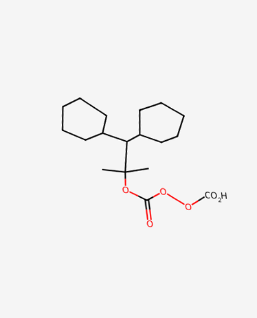 CC(C)(OC(=O)OOC(=O)O)C(C1CCCCC1)C1CCCCC1